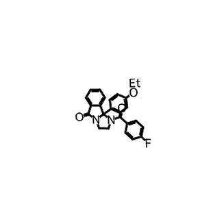 CCOc1ccc(C23c4ccccc4C(=O)N2CCN3C(=O)c2ccc(F)cc2)cc1